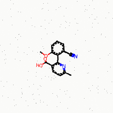 COc1cccc(C#N)c1-c1nc(C)ccc1C(=O)O